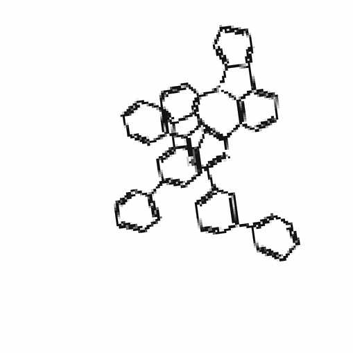 c1ccc(-c2cccc(-c3nc(-c4ccccc4)nc(-c4cccc5c6ccccc6n(-c6cccc7c6oc6ccc(-c8ccccc8)cc67)c45)n3)c2)cc1